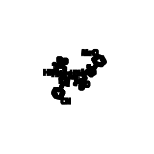 COc1cccc(C2=CCC([C@]3(C)CS(=O)(=O)N(C)C(=CC[C@@]4(c5ccc(-c6cccc(C#N)c6)s5)CS(=O)(=O)N(C)C(=N)N4)N3)S2)c1